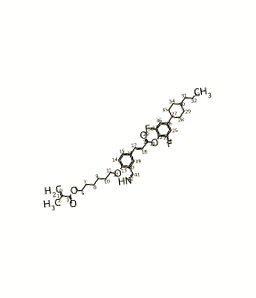 C=C(C)C(=O)OCCCCCCOc1ccc(/C=C/C(=O)Oc2c(F)cc(C3CCC(CCC)CC3)cc2F)cc1C=N